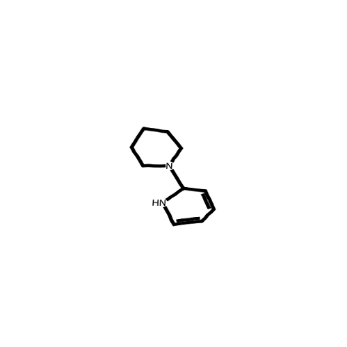 C1=CN[C](N2CCCCC2)C=C1